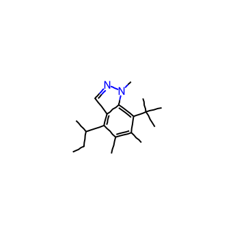 CCC(C)c1c(C)c(C)c(C(C)(C)C)c2c1cnn2C